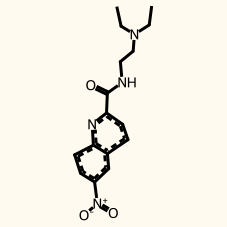 CCN(CC)CCNC(=O)c1ccc2cc([N+](=O)[O-])ccc2n1